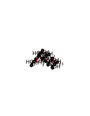 CN(C)C1(c2ccccc2)CCC(O)(c2cc3ccccc3n2C)CC1.CN(C)C1(c2ccccc2)CCC(O)(c2cc3ccccc3n2S(=O)(=O)c2ccccc2)CC1.CN(C)C1(c2ccccc2)CCC(O)(c2cc3ccccc3o2)CC1.CN(C)C1(c2ccccc2)CCC(O)(c2cc3ccccc3s2)CC1.CN(C)C1(c2ccccc2)CCC(O)(c2csc3ccccc23)CC1